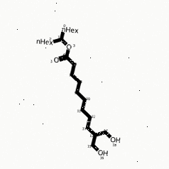 CCCCCCC(CCCCCC)OC(=O)CCCCCCCCC(CO)CO